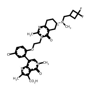 Cc1sc2c(-c3cc(Cl)ccc3OCCn3c(C)nc4c(c3=O)C[C@@H](N(C)CC3CC(F)(F)C3)CC4)cn(C)c(=O)c2c1C(=O)O